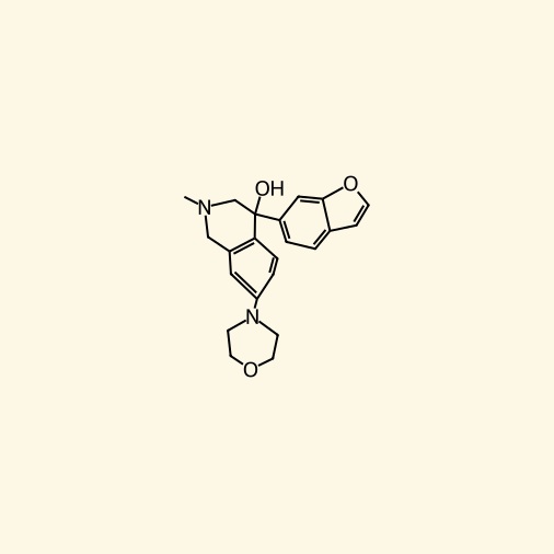 CN1Cc2cc(N3CCOCC3)ccc2C(O)(c2ccc3ccoc3c2)C1